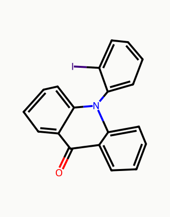 O=c1c2ccccc2n(-c2ccccc2I)c2ccccc12